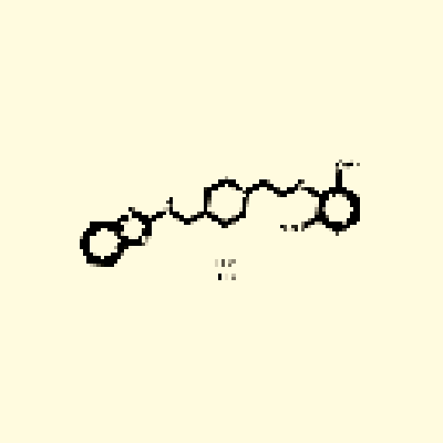 Br.Br.COc1cccc(OC)c1OCCN1CCC(CNc2nc3ccccc3s2)CC1